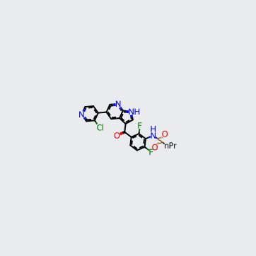 CCCS(=O)(=O)Nc1c(F)ccc(C(=O)c2c[nH]c3ncc(-c4ccncc4Cl)cc23)c1F